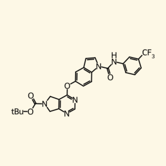 CC(C)(C)OC(=O)N1Cc2ncnc(Oc3ccc4c(ccn4C(=O)Nc4cccc(C(F)(F)F)c4)c3)c2C1